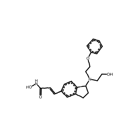 O=C(/C=C/c1ccc2c(c1)CCC2N(CCO)CCOc1ccccc1)NO